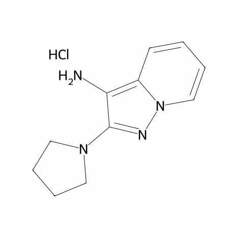 Cl.Nc1c(N2CCCC2)nn2ccccc12